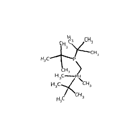 CC(C)(C)P(C[PH](C)(C)C(C)(C)C)C(C)(C)C